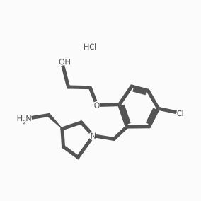 Cl.NC[C@@H]1CCN(Cc2cc(Cl)ccc2OCCO)C1